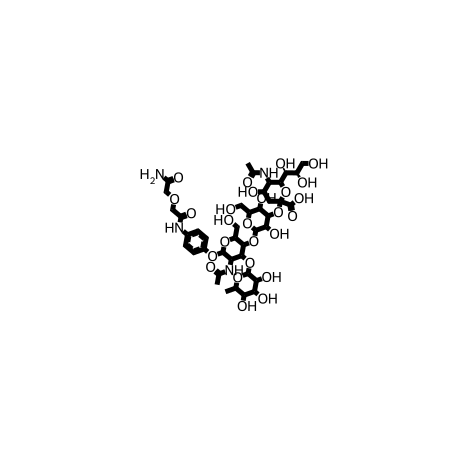 CC(=O)NC1C(Oc2ccc(NC(=O)COCC(N)=O)cc2)OC(CO)C(OC2OC(CO)C(O)C(OC3(C(=O)O)CC(O)C(NC(C)=O)C([C@H](O)[C@H](O)CO)O3)C2O)C1OC1OC(C)C(O)C(O)C1O